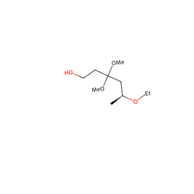 CCO[C@@H](C)CC(CCO)(OC)OC